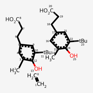 C=C.Cc1cc(CCC(=O)O)cc(C(C)(C)C)c1O.Cc1cc(CCC(=O)O)cc(C(C)(C)C)c1O